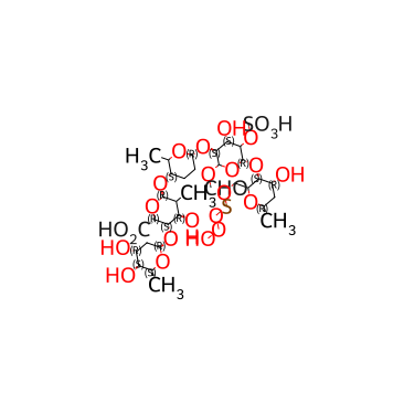 CC1O[C@H](O[C@@H]2C(OC=O)O[C@@H](O[C@@H]3C(COSOOO)O[C@H](C)C[C@H]3O)C(OS(=O)(=O)O)[C@H]2O)CC[C@@H]1O[C@@H]1O[C@@H](C(=O)O)[C@@H](O[C@@H]2C[C@@H](O)[C@H](O)[C@H](C)O2)[C@H](O)C1C